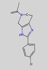 C=C(C)N1CCc2nc(-c3ccc(Br)cc3)[nH]c2C1